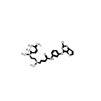 C=C(N)/C=C\C(=C)N(C)CCN(C)C/C=C/C(=O)Nc1cccc(Oc2nc(Cl)nc3ccsc23)c1